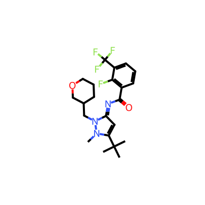 Cn1c(C(C)(C)C)cc(=NC(=O)c2cccc(C(F)(F)F)c2F)n1CC1CCCOC1